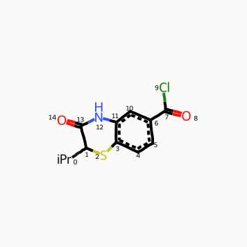 CC(C)C1Sc2ccc(C(=O)Cl)cc2NC1=O